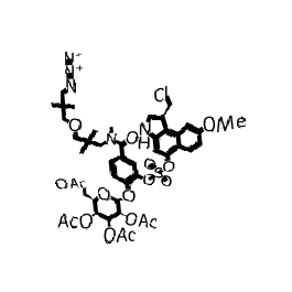 COc1ccc2c(OS(=O)(=O)Oc3cc(C(=O)N(C)CC(C)(C)COCC(C)(C)CN=[N+]=[N-])ccc3O[C@@H]3O[C@H](COC(C)=O)[C@@H](OC(C)=O)[C@H](OC(C)=O)[C@H]3OC(C)=O)cc3c(c2c1)[C@H](CCl)CN3